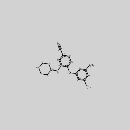 Cc1cc(C)cc(Oc2ccc(C#N)cc2SN2CCSCC2)c1